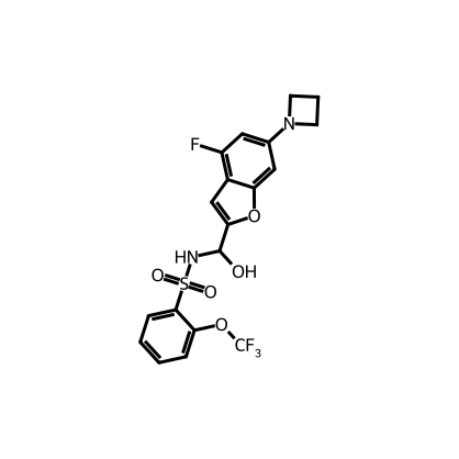 O=S(=O)(NC(O)c1cc2c(F)cc(N3CCC3)cc2o1)c1ccccc1OC(F)(F)F